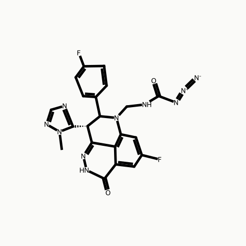 Cn1ncnc1[C@H]1c2n[nH]c(=O)c3cc(F)cc(c23)N(CNC(=O)N=[N+]=[N-])C1c1ccc(F)cc1